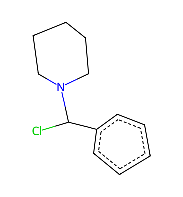 ClC(c1ccccc1)N1CCCCC1